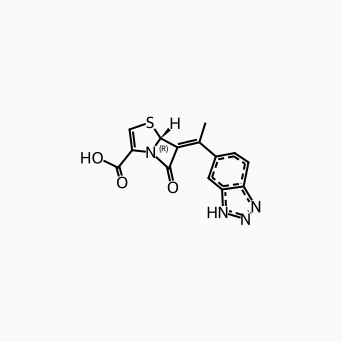 CC(=C1C(=O)N2C(C(=O)O)=CS[C@H]12)c1ccc2nn[nH]c2c1